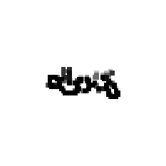 CCOc1ccccc1CNC1=CC=C2Nc3ccccc3CC=C2C1